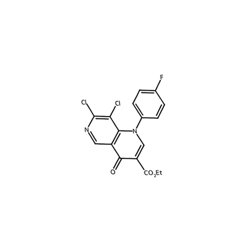 CCOC(=O)c1cn(-c2ccc(F)cc2)c2c(Cl)c(Cl)ncc2c1=O